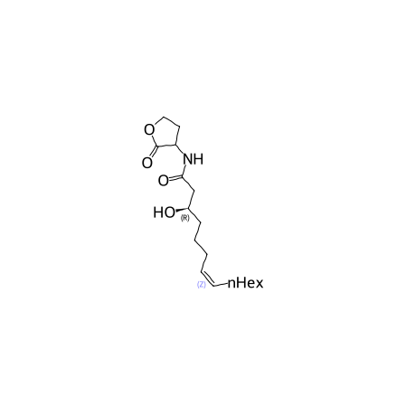 CCCCCC/C=C\CCC[C@@H](O)CC(=O)NC1CCOC1=O